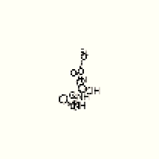 CCOCCCOC(=O)c1cc2cc(NC(=O)[C@@H]3NCC[C@H]3C3CCCCC3)ccc2n1C.Cl